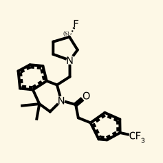 CC1(C)CN(C(=O)Cc2ccc(C(F)(F)F)cc2)C(CN2CC[C@H](F)C2)c2ccccc21